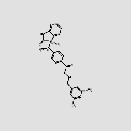 Cc1cc(CNCC(=O)c2ccc([C@@H](C)[C@@]3(C)C(=O)Nc4ncccc43)cn2)cc(C)n1